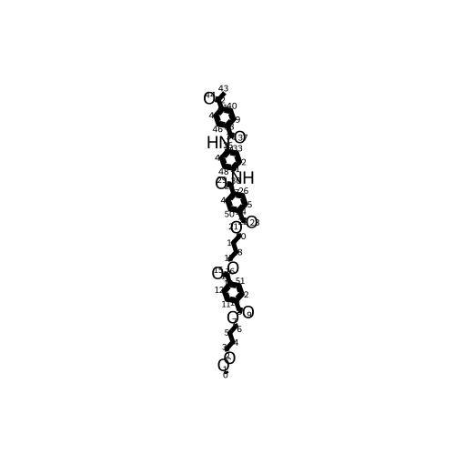 COOCCCCOC(=O)c1ccc(C(=O)OCCCCOC(=O)c2ccc(C(=O)Nc3ccc(NC(=O)c4ccc(C(C)=O)cc4)cc3)cc2)cc1